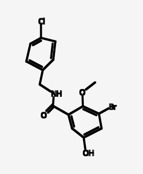 COc1c(Br)cc(O)cc1C(=O)NCc1ccc(Cl)cc1